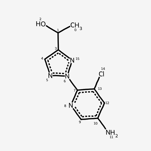 CC(O)c1cnn(-c2ncc(N)cc2Cl)n1